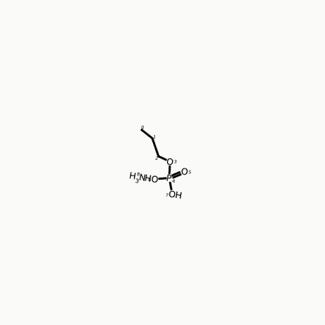 CCCOP(=O)(O)O.N